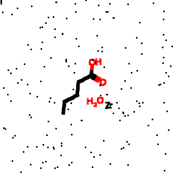 CCCCC(=O)O.O.[Zr]